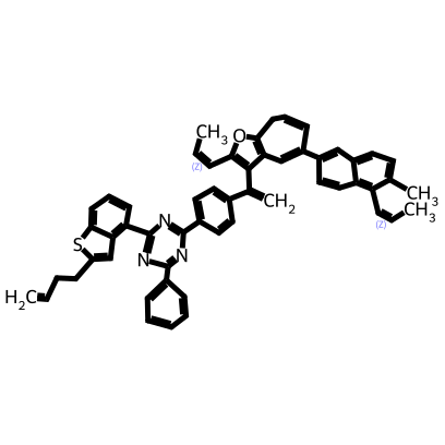 C=CCCc1cc2c(-c3nc(-c4ccccc4)nc(-c4ccc(C(=C)c5c(/C=C\C)oc6c5C=C(c5ccc7c(/C=C\C)c(C)ccc7c5)C=CC6)cc4)n3)cccc2s1